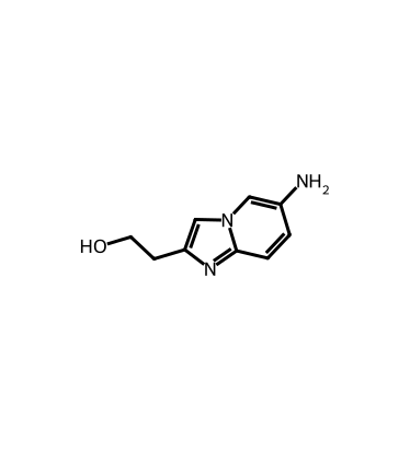 Nc1ccc2nc(CCO)cn2c1